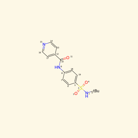 CC(C)(C)NS(=O)(=O)c1ccc(NC(=O)c2ccncc2)cc1